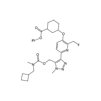 CC(C)OC(=O)C1CCCC(Oc2ccc(-c3nnn(C)c3COC(=O)N(C)CC3CCC3)nc2CF)C1